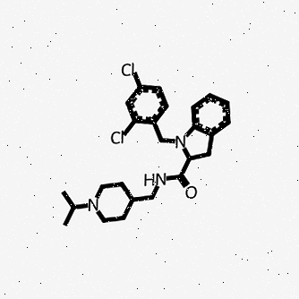 CC(C)N1CCC(CNC(=O)C2Cc3ccccc3N2Cc2ccc(Cl)cc2Cl)CC1